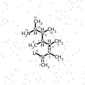 [Li][SiH](C)[SiH](C)[SiH](C)[SiH](C)[SiH](C)[SiH](C)N